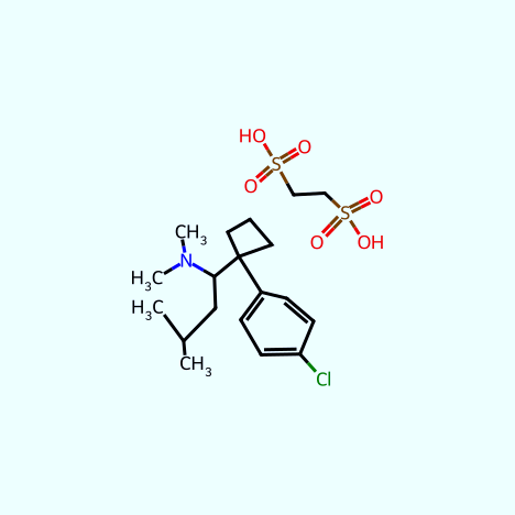 CC(C)CC(N(C)C)C1(c2ccc(Cl)cc2)CCC1.O=S(=O)(O)CCS(=O)(=O)O